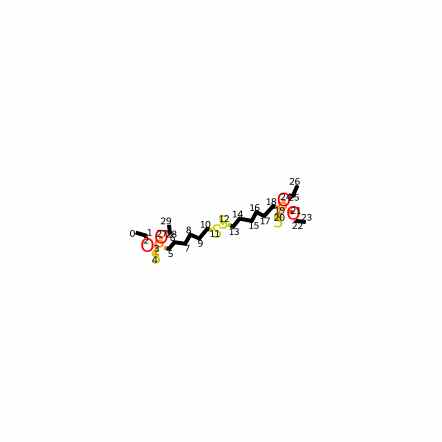 CCOP(=S)(CCCCCCSSCCCCCCP(=S)(OCC)OCC)OCC